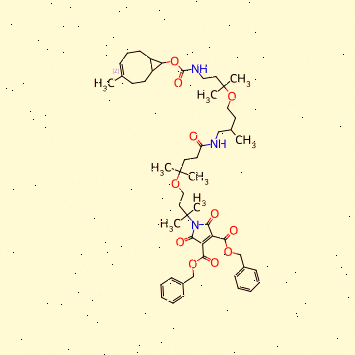 C/C1=C/CCC2C(CC1)C2OC(=O)NCCC(C)(C)OCCC(C)CNC(=O)CCC(C)(C)OCCC(C)(C)N1C(=O)C(C(=O)OCc2ccccc2)=C(C(=O)OCc2ccccc2)C1=O